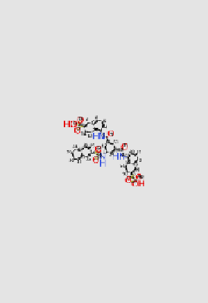 O=C(Nc1cccc2cc(S(=O)(=O)O)ccc12)c1cc(NS(=O)(=O)c2ccc3ccccc3c2)cc(C(=O)Nc2cccc3cc(S(=O)(=O)O)ccc23)c1